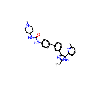 Cc1cccc(-c2[nH]c(C(C)C)nc2-c2cccc(-c3ccc(NC(=O)NC4CCN(C)CC4)cc3)c2)n1